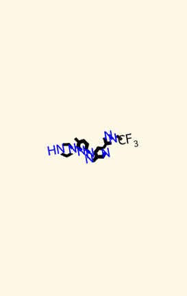 Cc1ccc(-n2ncc3cnc(-c4cnn(CC(F)(F)F)c4)cc32)nc1N1CCCNCC1